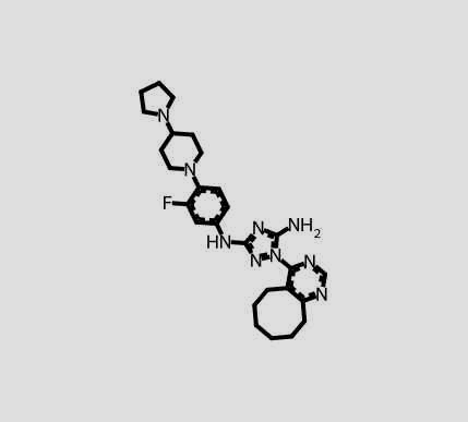 Nc1nc(Nc2ccc(N3CCC(N4CCCC4)CC3)c(F)c2)nn1-c1ncnc2c1CCCCCC2